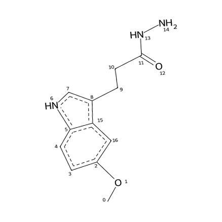 COc1ccc2[nH]cc(CCC(=O)NN)c2c1